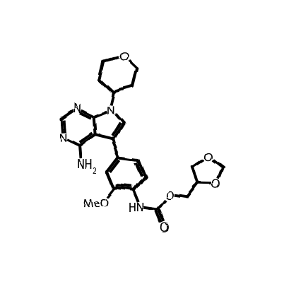 COc1cc(-c2cn(C3CCOCC3)c3ncnc(N)c23)ccc1NC(=O)OCC1COCO1